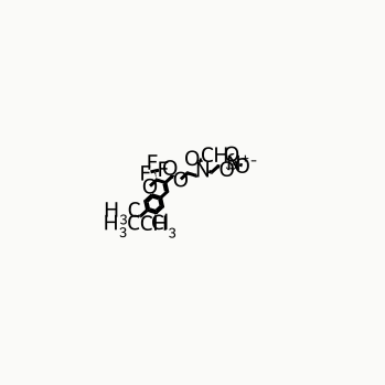 CC(=O)N(CCOC(=O)C1=Cc2cc(Cl)c(C(C)(C)C)cc2O[C@@H]1C(F)(F)F)CCO[N+](=O)[O-]